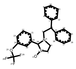 [O-][S+]1CCN(CC(c2ccccc2)c2ccccc2)C1c1cccc(OC(F)(F)F)c1